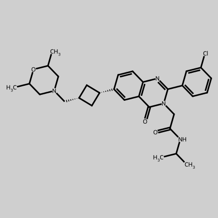 CC(C)NC(=O)Cn1c(-c2cccc(Cl)c2)nc2ccc([C@H]3C[C@@H](CN4CC(C)OC(C)C4)C3)cc2c1=O